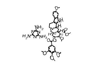 COC(=O)[C@H]1[C@H]2C[C@@H]3c4[nH]c5cc(OC)ccc5c4CCN3C[C@H]2C[C@@H](OC(=O)c2cc(OC)c(OC)c(OC)c2)[C@@H]1OC.Nc1nc(N)nc(N)n1